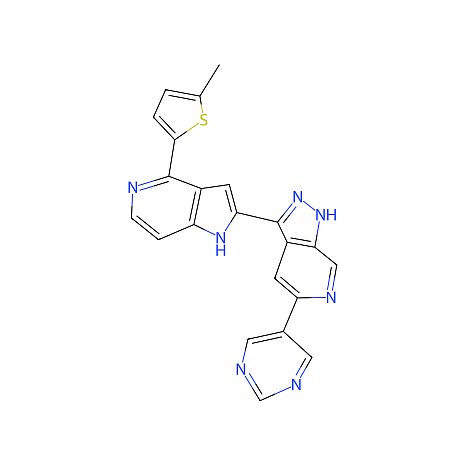 Cc1ccc(-c2nccc3[nH]c(-c4n[nH]c5cnc(-c6cncnc6)cc45)cc23)s1